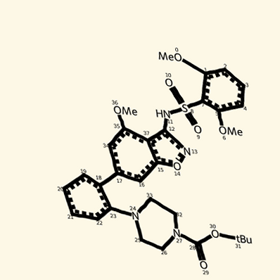 COc1cccc(OC)c1S(=O)(=O)Nc1noc2cc(-c3ccccc3N3CCN(C(=O)OC(C)(C)C)CC3)cc(OC)c12